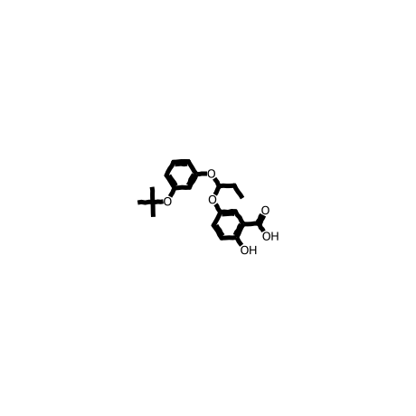 CCC(Oc1cccc(OC(C)(C)C)c1)Oc1ccc(O)c(C(=O)O)c1